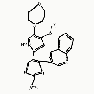 COc1cc(-c2cnc(N)nc2-c2cnc3ccccc3c2)ccc1N1CCOCC1.N